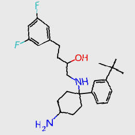 CC(C)(C)c1cccc(C2(NCC(O)CCc3cc(F)cc(F)c3)CCC(N)CC2)c1